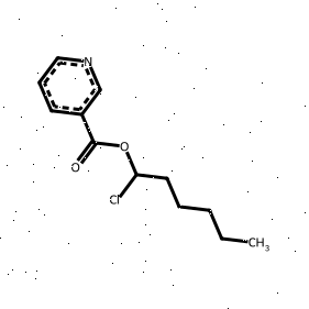 CCCCCC(Cl)OC(=O)c1cccnc1